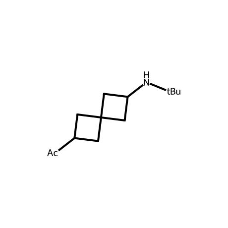 CC(=O)C1CC2(CC(NC(C)(C)C)C2)C1